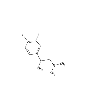 CC(CN(C)C)c1ccc(F)c(I)c1